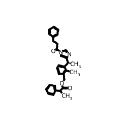 Cc1c(COC(=O)C(C)c2ccccc2)cccc1[C@H](C)c1cn(C(=O)CCc2ccccc2)cn1